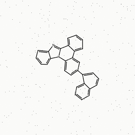 c1ccc2c(-c3ccc4c(c3)c3ccccc3c3nc5ccccc5n43)cccc2c1